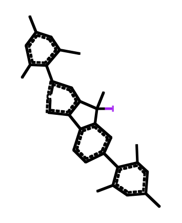 Cc1cc(C)c(-c2ccc3c(c2)C(C)(I)c2cc(-c4c(C)cc(C)cc4C)ccc2-3)c(C)c1